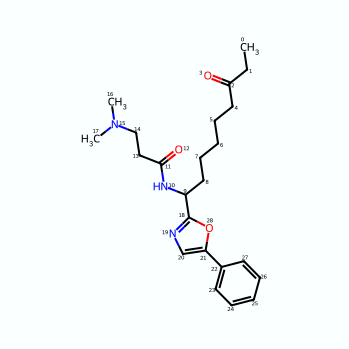 CCC(=O)CCCCCC(NC(=O)CCN(C)C)c1ncc(-c2ccccc2)o1